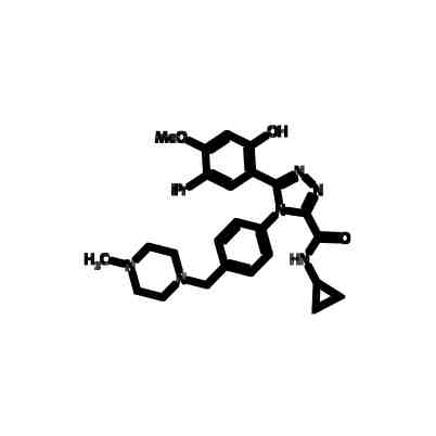 COc1cc(O)c(-c2nnc(C(=O)NC3CC3)n2-c2ccc(CN3CCN(C)CC3)cc2)cc1C(C)C